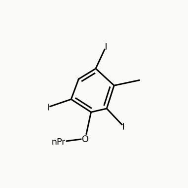 CCCOc1c(I)cc(I)c(C)c1I